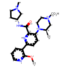 CCOc1ncccc1-c1ccc(N2CCN(C(=O)O)C[C@H]2CC)c(C(=O)N[C@@H]2CCN(C)C2)n1